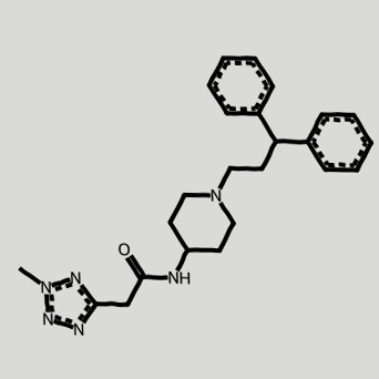 Cn1nnc(CC(=O)NC2CCN(CCC(c3ccccc3)c3ccccc3)CC2)n1